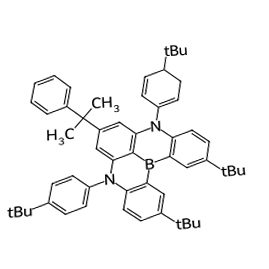 CC(C)(C)c1ccc(N2c3ccc(C(C)(C)C)cc3B3c4cc(C(C)(C)C)ccc4N(C4=CCC(C(C)(C)C)C=C4)c4cc(C(C)(C)c5ccccc5)cc2c43)cc1